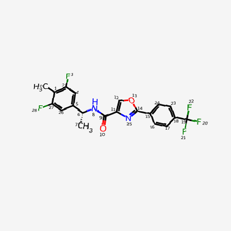 Cc1c(F)cc([C@@H](C)NC(=O)c2coc(-c3ccc(C(F)(F)F)cc3)n2)cc1F